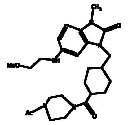 COCCNc1ccc2c(c1)n(CC1CCC(C(=O)N3CCN(C(C)=O)CC3)CC1)c(=O)n2C